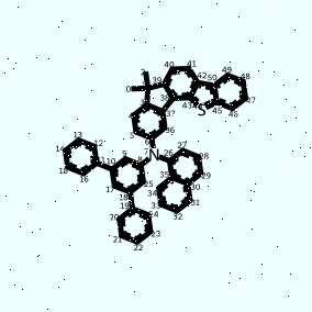 CC1(C)c2ccc(N(c3cc(-c4ccccc4)cc(-c4ccccc4)c3)c3cccc4ccccc34)cc2-c2c1ccc1c2sc2ccccc21